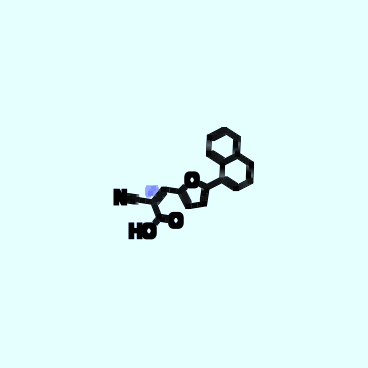 N#C/C(=C/c1ccc(-c2cccc3ccccc23)o1)C(=O)O